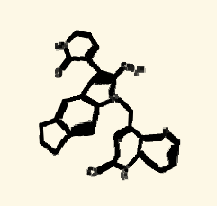 O=C(O)c1c(-c2ccc[nH]c2=O)c2cc3c(cc2n1Cc1cc(=O)[nH]c2cccnc12)CCC3